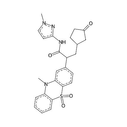 CN1c2ccccc2S(=O)(=O)c2ccc(C(CC3CCC(=O)C3)C(=O)Nc3ccn(C)n3)cc21